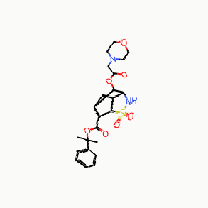 CC(C)(OC(=O)C1C2CC3C(NS(=O)(=O)C31)C2OC(=O)CN1CCOCC1)c1ccccc1